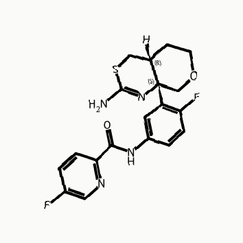 NC1=N[C@@]2(c3cc(NC(=O)c4ccc(F)cn4)ccc3F)COCC[C@H]2CS1